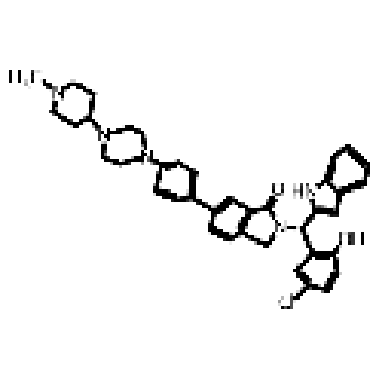 CN1CCC(N2CCN(c3ccc(-c4ccc5c(c4)C(=O)N([C@@H](c4cc6ccccc6[nH]4)c4cc(Cl)ccc4O)C5)cc3)CC2)CC1